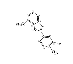 CCCCCCc1cccc2cc(-c3ccc(C)c(I)c3)oc12